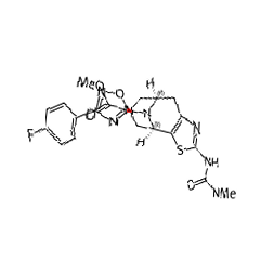 CNC(=O)Nc1nc2c(s1)[C@H]1CN(C(=O)OC)C[C@@H](C2)N1c1nc(-c2ccc(F)cc2)no1